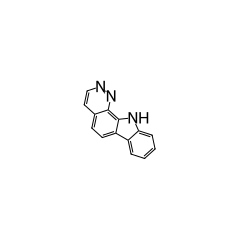 c1ccc2c(c1)[nH]c1c2ccc2ccnnc21